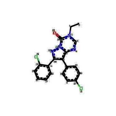 CCn1cnc2c(-c3ccc(Cl)cc3)c(-c3ccccc3Cl)nn2c1=O